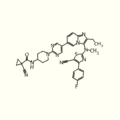 CCc1nc2ccc(-c3cnc(N4CCC(NC(=O)C5(C#N)CC5)CC4)nc3)cn2c1N(C)c1nc(-c2ccc(F)cc2)c(C#N)s1